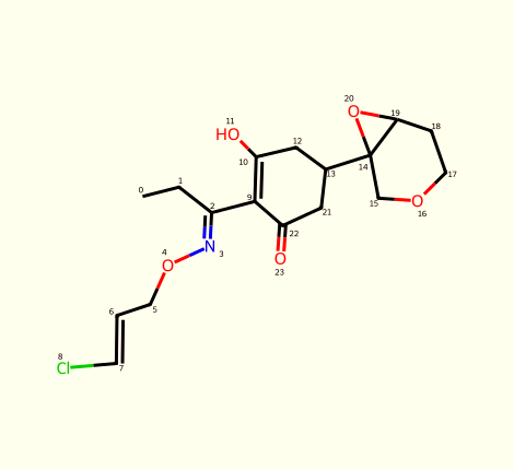 CCC(=NOCC=CCl)C1=C(O)CC(C23COCCC2O3)CC1=O